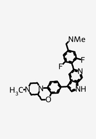 CNCc1cc(F)c(-c2cc3c(-c4ccc5c(c4)OCC4CN(C)CCN54)c[nH]c3cn2)c(F)c1